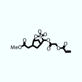 C=CC(=O)OCC(=O)OC1C2CC(CC(=O)OC)C(C2)OS1(=O)=O